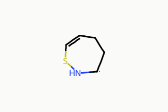 [CH]1CCC=CSN1